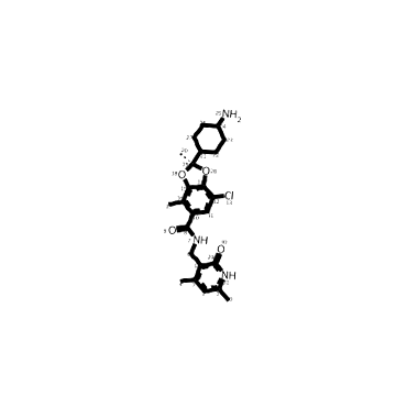 Cc1cc(C)c(CNC(=O)c2cc(Cl)c3c(c2C)O[C@@](C)(C2CCC(N)CC2)O3)c(=O)[nH]1